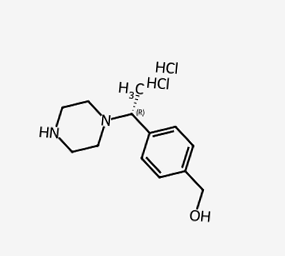 C[C@H](c1ccc(CO)cc1)N1CCNCC1.Cl.Cl